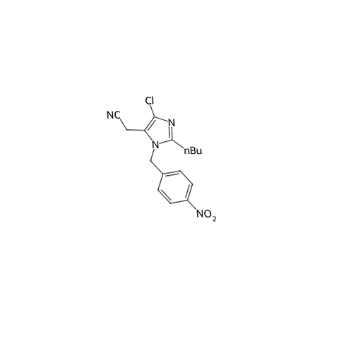 CCCCc1nc(Cl)c(CC#N)n1Cc1ccc([N+](=O)[O-])cc1